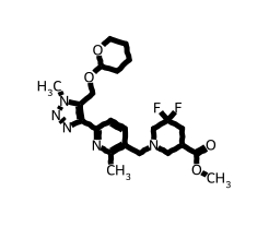 COC(=O)C1CN(Cc2ccc(-c3nnn(C)c3COC3CCCCO3)nc2C)CC(F)(F)C1